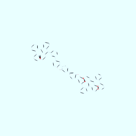 C1=C(c2ccc3c(c2)oc2ccc(-c4ccccc4-c4c5ccccc5c(-c5ccccc5-c5ccccc5)c5ccccc45)cc23)C=C2Oc3ccc(-c4cccc(-c5c6ccccc6c(-c6ccccc6-c6ccccc6)c6ccccc56)c4)cc3C2C1